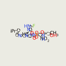 C#Cc1nc2[nH]cc(F)c2cc1Oc1cc(N2CCC3(CC2)CN(C2CCC[C@H]2c2ccccc2C(C)C)C3)ccc1C(=O)NS(=O)(=O)c1cc2c(c([N+](=O)[O-])c1)N[C@@H]([C@H]1CC[C@](C)(O)CC1)CO2